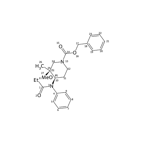 CCC(=O)N(c1ccccc1)[C@@H]1CCN(C(=O)OCc2ccccc2)C[C@]1(C)OC